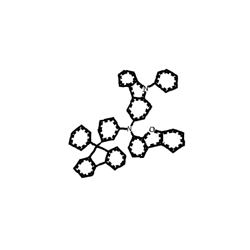 c1ccc(-n2c3ccccc3c3cc(N(c4cccc(C5(c6ccccc6)c6ccccc6-c6ccccc65)c4)c4cccc5c4oc4ccccc45)ccc32)cc1